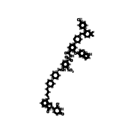 CC1(C)CCC(CN2CCN(c3ccc(C(=O)NS(=O)(=O)c4ccc(NC[C@H]5CC[C@@H](N6CCN(CCCSc7cccc8c7CN(C7CCC(=O)NC7=O)C8=O)CC6)CC5)c([N+](=O)[O-])c4)c(Oc4cnc5[nH]ccc5c4)c3)CC2)=C(c2ccc(Cl)cc2)C1